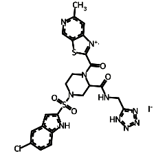 Cc1cc2c(cn1)SC(C(=O)N1CCN(S(=O)(=O)c3cc4cc(Cl)ccc4[nH]3)CC1C(=O)NCc1nnn[nH]1)=[N+]2.[I-]